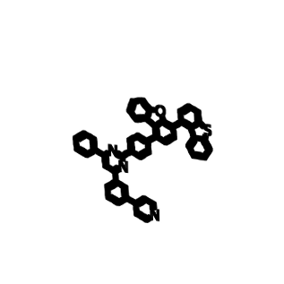 c1ccc(-c2cc(-c3cccc(-c4ccncc4)c3)nc(-c3ccc(-c4ccc(-c5cccc6sc7ccccc7c56)c5oc6ccccc6c45)cc3)n2)cc1